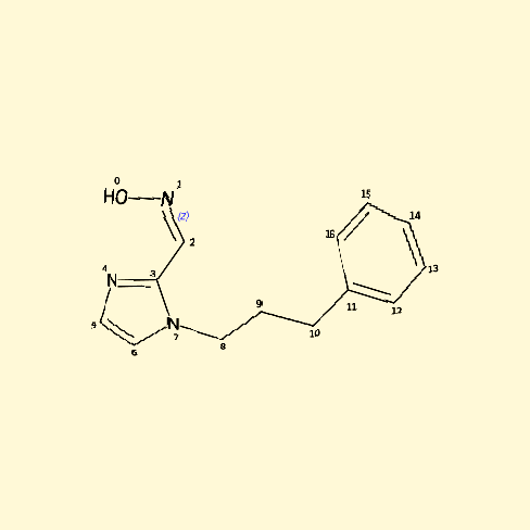 O/N=C\c1nccn1CCCc1ccccc1